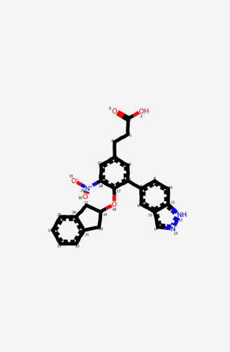 O=C(O)CCc1cc(-c2ccc3[nH]ncc3c2)c(OC2Cc3ccccc3C2)c([N+](=O)[O-])c1